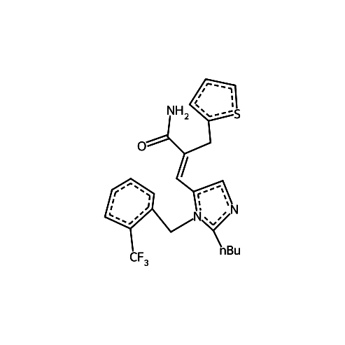 CCCCc1ncc(/C=C(\Cc2cccs2)C(N)=O)n1Cc1ccccc1C(F)(F)F